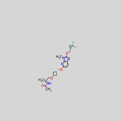 CC(=O)N[C@@H](C)CO[C@H]1C[C@H](COc2ccc3nc(OCC4CC4(F)F)n(C)c3n2)C1